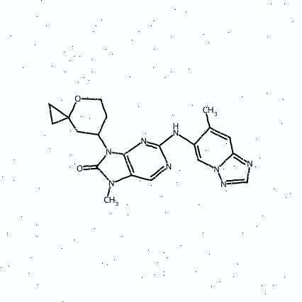 Cc1cc2ncnn2cc1Nc1ncc2c(n1)n(C1CCOC3(CC3)C1)c(=O)n2C